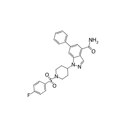 NC(=O)c1cc(-c2ccccc2)cc2c1cnn2C1CCN(S(=O)(=O)c2ccc(F)cc2)CC1